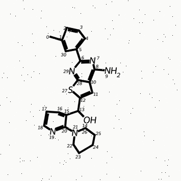 Cc1cccc(-c2nc(N)c3cc(C(O)c4cccnc4N4CCCCC4)sc3n2)c1